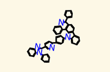 c1ccc(-c2nc3ccccc3c3c2ccc2c4ccccc4n(-c4ccc(-c5ccc(-c6nc7ccccc7n6-c6ccccc6)cn5)cc4)c23)cc1